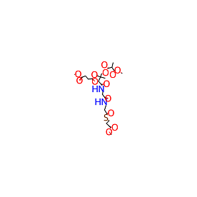 COC(=O)CCSC(=O)CCNC(=O)CCNC(=O)C(OC(=O)CCC(=O)OC)C(C)(C)COC(=O)C(C)C(=O)OC